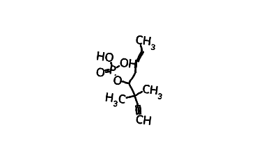 C#CC(C)(C)C(CC=CC)OP(=O)(O)O